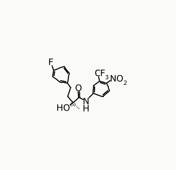 C[C@](O)(CCc1ccc(F)cc1)C(=O)Nc1ccc([N+](=O)[O-])c(C(F)(F)F)c1